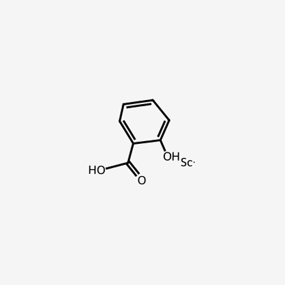 O=C(O)c1ccccc1O.[Sc]